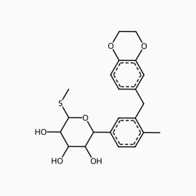 CSC1OC(c2ccc(C)c(Cc3ccc4c(c3)OCCO4)c2)C(O)C(O)C1O